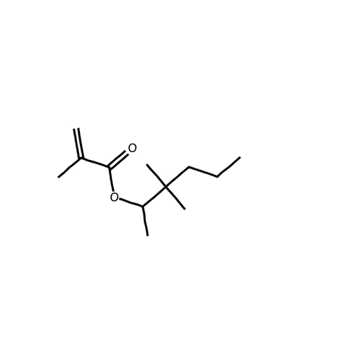 C=C(C)C(=O)OC(C)C(C)(C)CCC